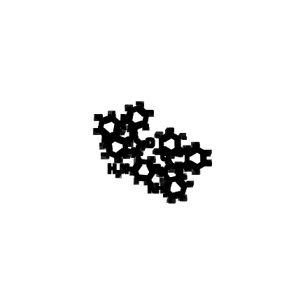 Nc1cc(N)c(-n2c(=O)n(-c3ccccc3-c3ccccc3)c3ccccc32)cc1-n1c(=O)n(-c2ccccc2-c2ccccc2)c2ccccc21